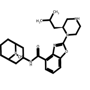 CC(C)C[C@H]1CNCCN1c1nc2c(C(=O)NC3CC4CCCC(C3)N4C)cccc2o1